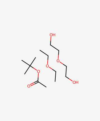 CC(=O)OC(C)(C)C.CCOCC.OCCOCCO